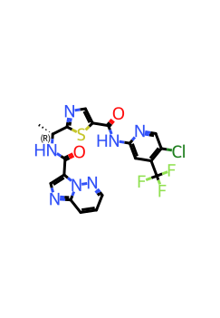 C[C@@H](NC(=O)c1cnc2cccnn12)c1ncc(C(=O)Nc2cc(C(F)(F)F)c(Cl)cn2)s1